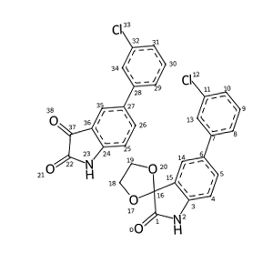 O=C1Nc2ccc(-c3cccc(Cl)c3)cc2C12OCCO2.O=C1Nc2ccc(-c3cccc(Cl)c3)cc2C1=O